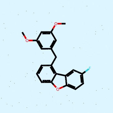 COc1cc(Cc2[c]ccc3oc4ccc(F)cc4c23)cc(OC)c1